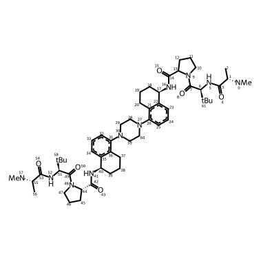 CN[C@@H](C)C(=O)N[C@H](C(=O)N1CCCC1C(=O)N[C@@H]1CCCc2c1cccc2N1CCN(c2cccc3c2CCC[C@H]3NC(=O)[C@@H]2CCCN2C(=O)[C@@H](NC(=O)[C@H](C)NC)C(C)(C)C)CC1)C(C)(C)C